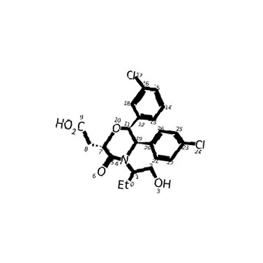 CCC(CO)N1C(=O)[C@H](CC(=O)O)O[C@@H](c2cccc(Cl)c2)[C@H]1c1ccc(Cl)cc1